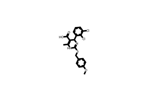 COc1ccc(CSC2=NC(c3cccc(Cl)c3Cl)C(C(=O)O)=C(C)N2)cc1